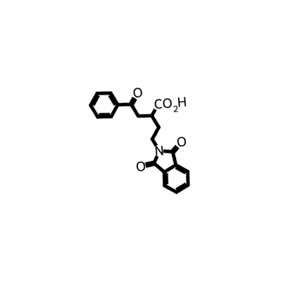 O=C(CC(CCN1C(=O)c2ccccc2C1=O)C(=O)O)c1ccccc1